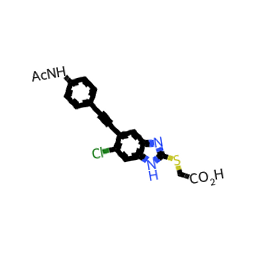 CC(=O)Nc1ccc(C#Cc2cc3nc(SCC(=O)O)[nH]c3cc2Cl)cc1